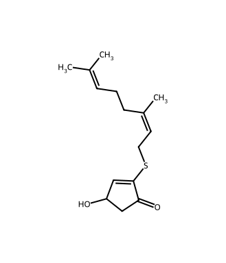 CC(C)=CCCC(C)=CCSC1=CC(O)CC1=O